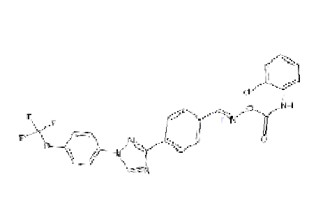 O=C(Nc1ccccc1Cl)O/N=C/c1ccc(-c2ncn(-c3ccc(OC(F)(F)F)cc3)n2)cc1